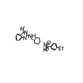 CCc1ccc(S(=O)(=O)NC[C@H]2CC[C@H](CNc3nc(N(C)C)c4ccccc4n3)CC2)cc1